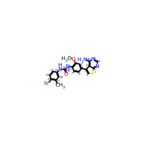 COc1cc(-c2csc3ncnc(N)c23)ccc1NC(=O)Nc1ccc(Br)c(C)c1